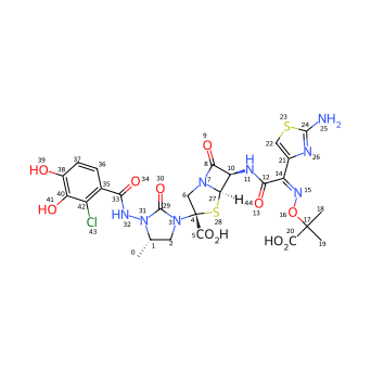 C[C@H]1CN([C@]2(C(=O)O)CN3C(=O)[C@@H](NC(=O)/C(=N\OC(C)(C)C(=O)O)c4csc(N)n4)[C@H]3S2)C(=O)N1NC(=O)c1ccc(O)c(O)c1Cl